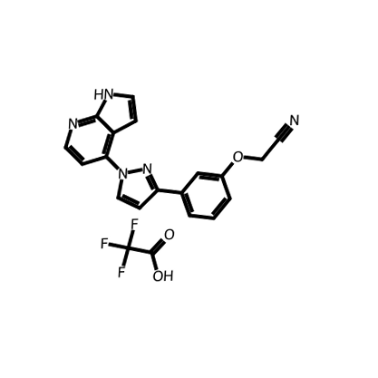 N#CCOc1cccc(-c2ccn(-c3ccnc4[nH]ccc34)n2)c1.O=C(O)C(F)(F)F